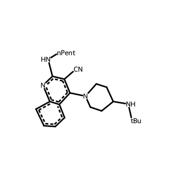 CCCCCNc1nc2ccccc2c(N2CCC(NC(C)(C)C)CC2)c1C#N